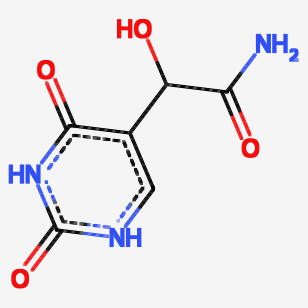 NC(=O)C(O)c1c[nH]c(=O)[nH]c1=O